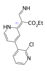 CCOC(=O)/C(C=N)=C1\C=C(c2cccnc2Cl)C=CN1